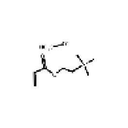 C=CC(=O)OCC[N+](C)(C)C.O=S(=O)([O-])O